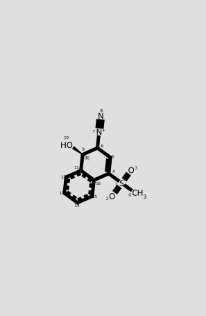 CS(=O)(=O)C1=CC([N+]#N)[C@H](O)c2ccccc21